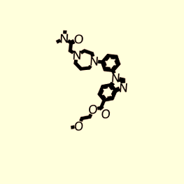 COCCOC(=O)c1ccc2c(c1)ncn2-c1cccc(N2CCCN(CC(=O)N(C)C)CC2)c1